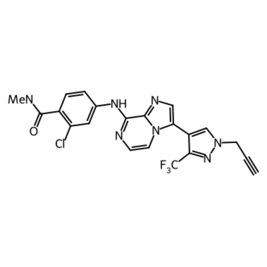 C#CCn1cc(-c2cnc3c(Nc4ccc(C(=O)NC)c(Cl)c4)nccn23)c(C(F)(F)F)n1